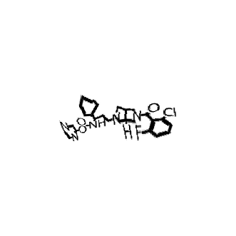 O=C(NC(CCN1CC2CN(C(=O)c3c(F)cccc3Cl)C[C@@H]2C1)c1ccccc1)Oc1cnccn1